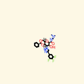 CN(C)C=NC(=O)[C@@H]1O[C@@H]2CO[C@H](c3ccccc3)O[C@@H]2[C@H](n2cc(-c3cc(F)c(F)c(F)c3)nn2)[C@H]1O